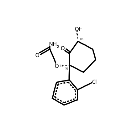 NC(=O)O[C@@]1(c2ccccc2Cl)CCC[C@@H](O)C1=O